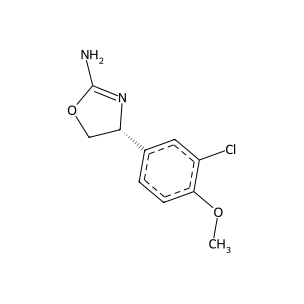 COc1ccc([C@@H]2COC(N)=N2)cc1Cl